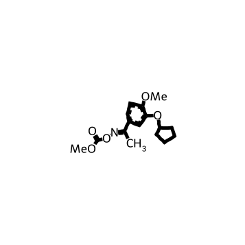 COC(=O)O/N=C(\C)c1ccc(OC)c(OC2CCCC2)c1